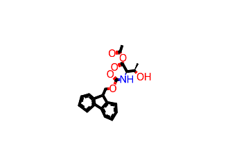 CC(=O)OC(=O)[C@@H](NC(=O)OCC1c2ccccc2-c2ccccc21)[C@@H](C)O